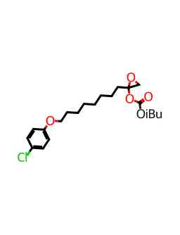 CC(C)COC(=O)OC1(CCCCCCCCOc2ccc(Cl)cc2)CO1